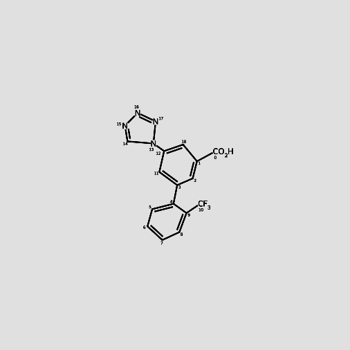 O=C(O)c1cc(-c2ccccc2C(F)(F)F)cc(-n2cnnn2)c1